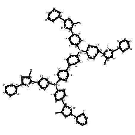 Cc1cc(-c2ccccc2)sc1-c1ccc(N(c2ccc(-c3ccc(N(c4ccc(-c5sc(-c6ccccc6)cc5C)cc4)c4ccc(-c5sc(-c6ccccc6)cc5C)cc4)cc3)cc2)c2ccc(-c3sc(-c4ccccc4)cc3C)cc2)cc1